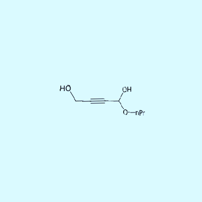 CCCOC(O)C#CCO